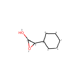 OC1OC1C1CCCCC1